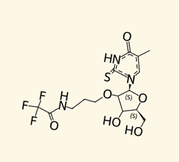 Cc1cn([C@H]2O[C@@H](CO)C(O)C2OCCCNC(=O)C(F)(F)F)c(=S)[nH]c1=O